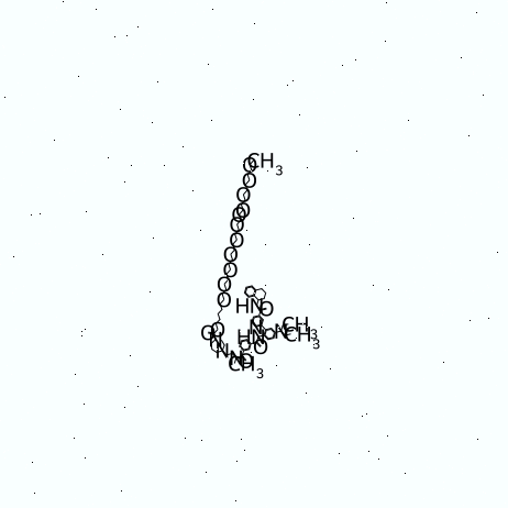 CCN(CC)c1ccc(NC(=O)c2cccc(C(=O)N(C)CCN3CCCN(C(=O)OCCCCCOCCOCCOCCOCCOCCOCOOCCOCCOCCOC)CC3)c2)c(-c2cc(C(=O)NC3CCCc4ccccc43)ccn2)c1